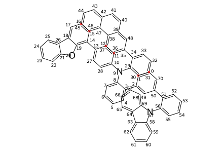 c1cc(-c2ccccc2N(c2ccc(-c3cccc4c3oc3ccccc34)cc2)c2ccccc2-c2ccc3c(ccc4ccccc43)c2)cc(-c2ccccc2-n2c3ccccc3c3ccccc32)c1